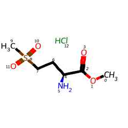 COC(=O)[C@@H](N)CCS(C)(=O)=O.Cl